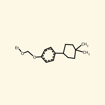 CCOCOc1ccc(C2CCC(C)(C)CC2)cc1